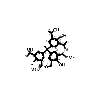 COCc1cc(C(C)(c2cc(COC)c(O)c(C(C)O)c2)c2cc(C(C)O)c(O)c(C(C)O)c2)cc(COC)c1O